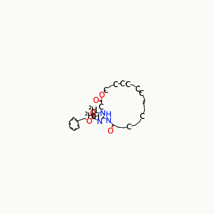 [2H]C([2H])([2H])N1CC(=O)OCCCCCCCC/C=C/CCCCCCCC(=O)N/C1=N/C(=O)OCc1ccccc1